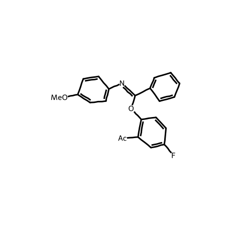 COc1ccc(N=C(Oc2ccc(F)cc2C(C)=O)c2ccccc2)cc1